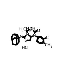 CC(=O)N(c1ccc(C)c(Cl)c1)C1CSC(=NC23CC4CC(CC(C4)C2)C3)N1C(C)C.Cl